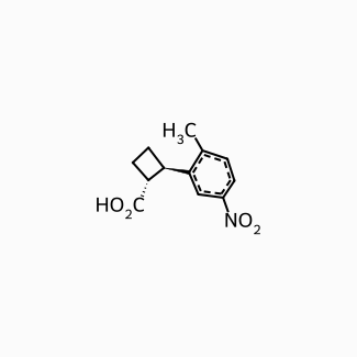 Cc1ccc([N+](=O)[O-])cc1[C@@H]1CC[C@H]1C(=O)O